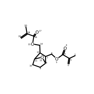 C=C(C)C(=O)OCC1C2CCC(O2)C1COC(=O)C(=C)C